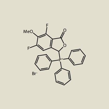 COc1c(F)cc2c(c1F)C(=O)OC2[P+](c1ccccc1)(c1ccccc1)c1ccccc1.[Br-]